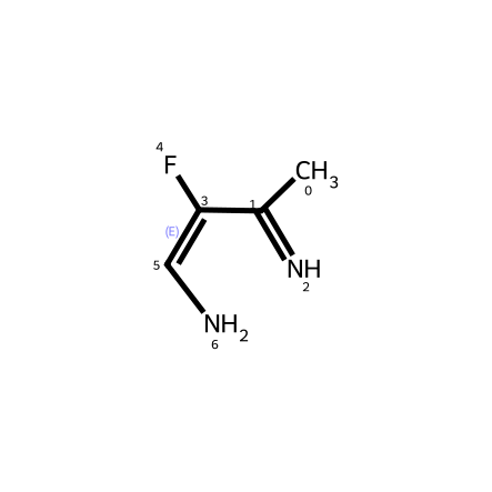 CC(=N)/C(F)=C\N